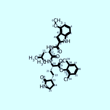 COc1cccc2[nH]c(C(=O)N[C@@H](CC(C)C)C(=O)N[C@@H](CC[C@@H]3CCNC3=O)C(=O)Oc3c(Cl)cccc3Cl)cc12